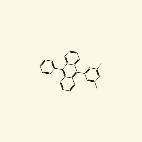 Cc1cc(C)cc(-c2c3ccccc3c(-c3ccccc3)c3ccccc23)c1